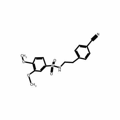 COc1ccc(S(=O)(=O)NCCc2ccc(C#N)cc2)cc1OC